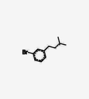 C[C](C)CCc1cccc(Br)c1